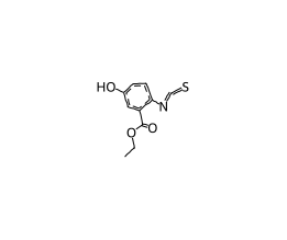 CCOC(=O)c1cc(O)ccc1N=C=S